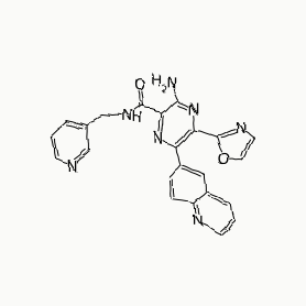 Nc1nc(-c2ncco2)c(-c2ccc3ncccc3c2)nc1C(=O)NCc1cccnc1